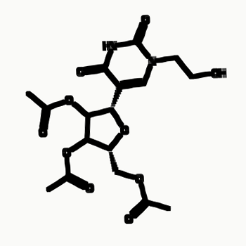 CC(=O)OC[C@H]1O[C@@H](c2cn(CCO)c(=O)[nH]c2=O)C(OC(C)=O)C1OC(C)=O